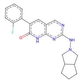 O=c1[nH]c2nc(NN3CC4CCCC4C3)ncc2cc1-c1ccccc1F